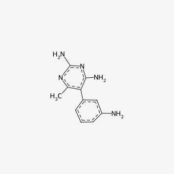 Cc1nc(N)nc(N)c1-c1cccc(N)c1